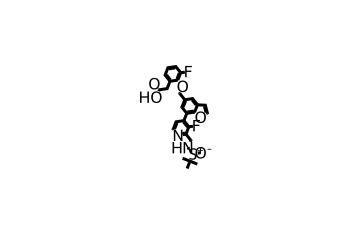 CC(C)(C)[S+]([O-])NCc1nccc(-c2cc(COc3c(F)cccc3CC(=O)O)cc3ccoc23)c1F